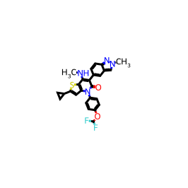 CNc1c(-c2ccc3nn(C)cc3c2)c(=O)n(-c2ccc(OC(F)F)cc2)c2cc(C3CC3)sc12